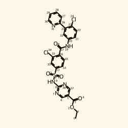 CCOC(=O)c1cnc(NS(=O)(=O)c2ccc(C(=O)Nc3ccc(Cl)c(-c4ccccn4)c3)c(Cl)c2)nc1